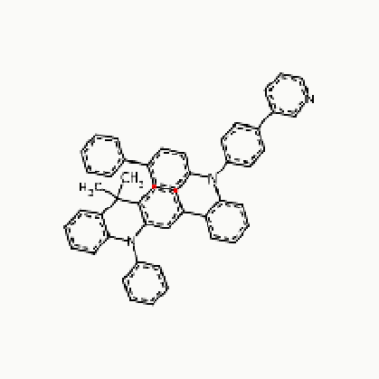 CC1(C)c2ccccc2N(c2ccccc2)c2cc(-c3ccccc3N(c3ccc(-c4ccccc4)cc3)c3ccc(-c4cccnc4)cc3)ccc21